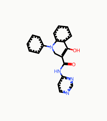 O=C(Nc1ccncn1)C1=C(O)c2ccccc2N(c2ccccc2)C1